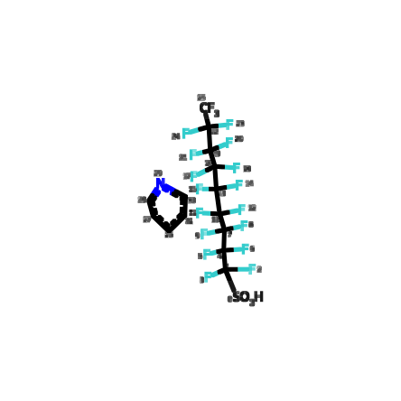 O=S(=O)(O)C(F)(F)C(F)(F)C(F)(F)C(F)(F)C(F)(F)C(F)(F)C(F)(F)C(F)(F)C(F)(F)F.c1ccncc1